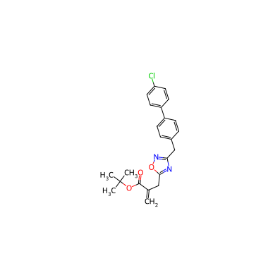 C=C(Cc1nc(Cc2ccc(-c3ccc(Cl)cc3)cc2)no1)C(=O)OC(C)(C)C